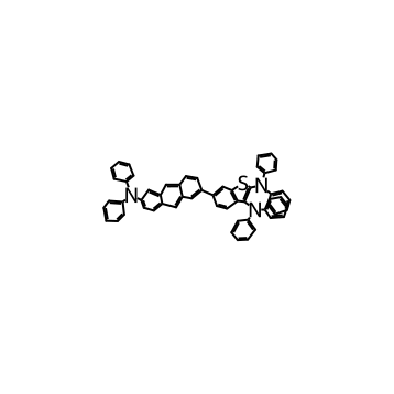 c1ccc(N(c2ccccc2)c2ccc3cc4cc(-c5ccc6c(N(c7ccccc7)c7ccccc7)c(N(c7ccccc7)c7ccccc7)sc6c5)ccc4cc3c2)cc1